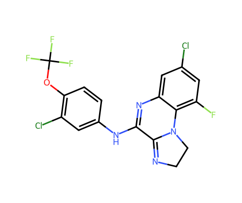 Fc1cc(Cl)cc2c1N1CCN=C1C(Nc1ccc(OC(F)(F)F)c(Cl)c1)=N2